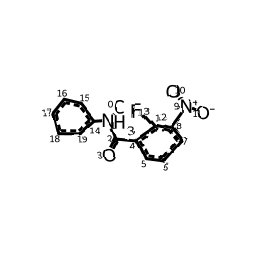 CN(C(=O)c1cccc([N+](=O)[O-])c1F)c1ccccc1